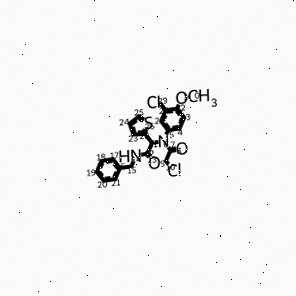 COc1ccc(N(C(=O)CCl)C(C(=O)NCc2ccccc2)c2cccs2)cc1Cl